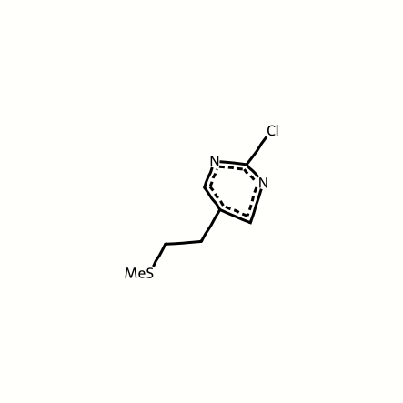 CSCCc1cnc(Cl)nc1